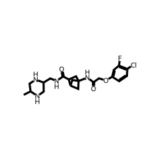 CC1CNC(CNC(=O)C2CC3(NC(=O)COc4ccc(Cl)c(F)c4)CC2C3)CN1